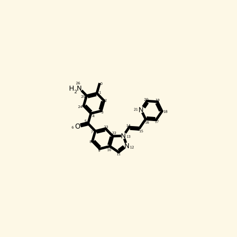 Cc1ccc(C(=O)c2ccc3cnn(C=Cc4ccccn4)c3c2)cc1N